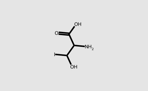 NC(C(=O)O)C(O)I